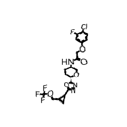 O=C(COc1ccc(Cl)c(F)c1)N[C@@H]1CC[C@@H](c2nnc(C3CC3COC(F)(F)F)o2)OC1